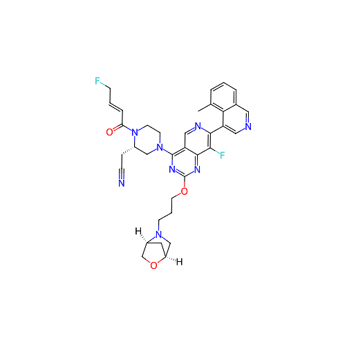 Cc1cccc2cncc(-c3ncc4c(N5CCN(C(=O)/C=C/CF)[C@@H](CC#N)C5)nc(OCCCN5C[C@@H]6C[C@H]5CO6)nc4c3F)c12